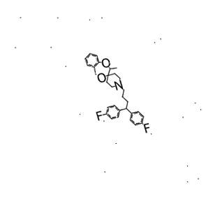 CC1Oc2ccccc2COC12CCN(CCCC(c1ccc(F)cc1)c1ccc(F)cc1)CC2